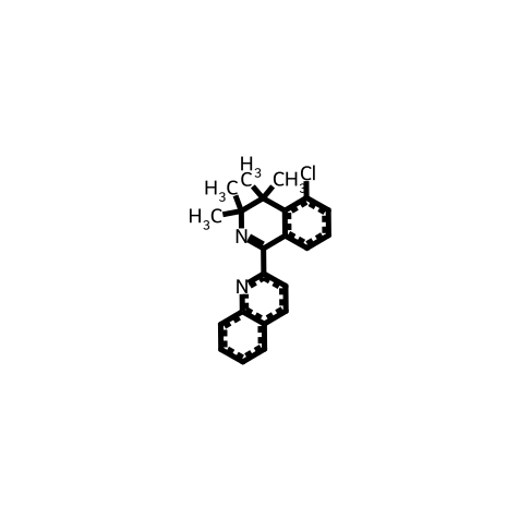 CC1(C)N=C(c2ccc3ccccc3n2)c2cccc(Cl)c2C1(C)C